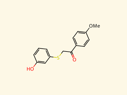 COc1ccc(C(=O)CSc2cccc(O)c2)cc1